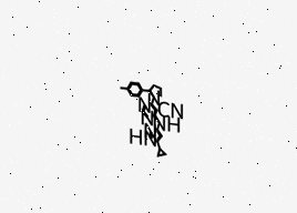 Cc1ccc(C2CCCN2c2ncnc(Nc3cc(C4CC4)[nH]n3)c2C#N)cc1